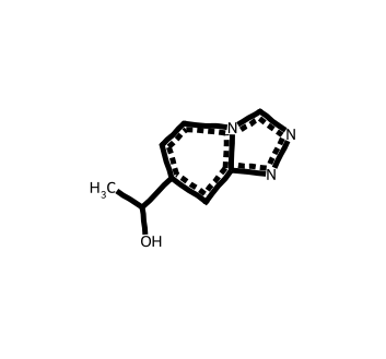 CC(O)c1ccn2cnnc2c1